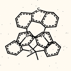 CC1(C)c2ccccc2N(c2cccc3sc4cccc(B5c6ccccc6Sc6ccccc65)c4c23)c2ccccc21